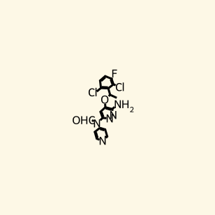 CC(Oc1cc(N(C=O)c2ccncc2)nnc1N)c1c(Cl)ccc(F)c1Cl